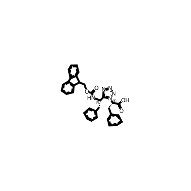 O=C(N[C@@H](Cc1ccccc1)c1nnnn1[C@@H](Cc1ccccc1)C(=O)O)OCC1c2ccccc2-c2ccccc21